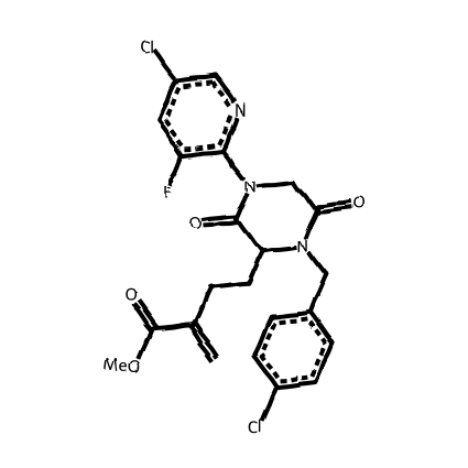 C=C(CCC1C(=O)N(c2ncc(Cl)cc2F)CC(=O)N1Cc1ccc(Cl)cc1)C(=O)OC